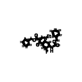 CCn1cc(C(=O)OCc2ccccc2)c(=O)c2cc(F)c(NC(=O)OCc3ccccc3)cc21